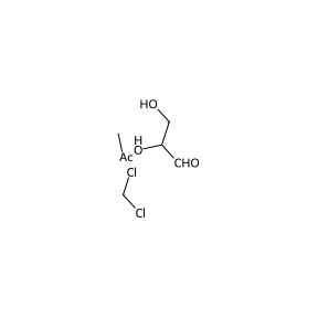 CC(C)=O.ClCCl.O=CC(O)CO